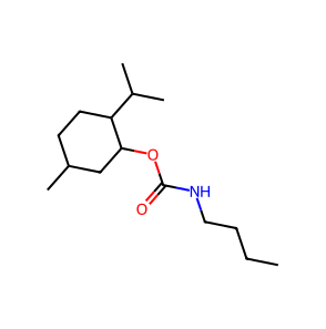 CCCCNC(=O)OC1CC(C)CCC1C(C)C